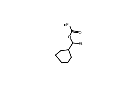 CCCC(=O)OC(CC)C1CCCCC1